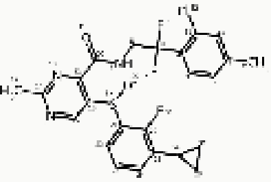 Cc1ccc(C(F)(F)CNC(=O)c2nc(C)ncc2[S+]([O-])c2cccc(C3CC3)c2F)c(Cl)c1